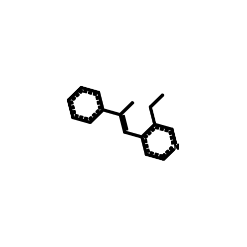 CCc1cnccc1C=C(C)c1ccccc1